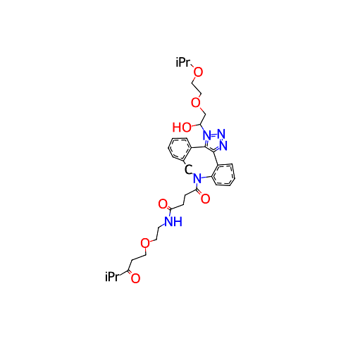 CC(C)OCCOCC(O)n1nnc2c1-c1ccccc1CN(C(=O)CCC(=O)NCCOCCC(=O)C(C)C)c1ccccc1-2